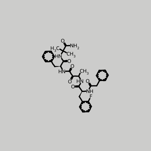 CC(NC(=O)[C@H](Cc1ccccc1F)NC(=O)Cc1ccccc1)C(=O)C(=O)N[C@@H](Cc1ccccc1)C(=O)NC(C)(C)C(N)=O